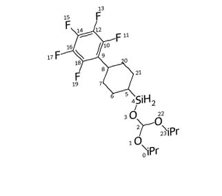 CC(C)OC(O[SiH2]C1CCC(c2c(F)c(F)c(F)c(F)c2F)CC1)OC(C)C